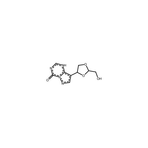 O=c1nc[nH]c2c(C3COC(CO)O3)cnn12